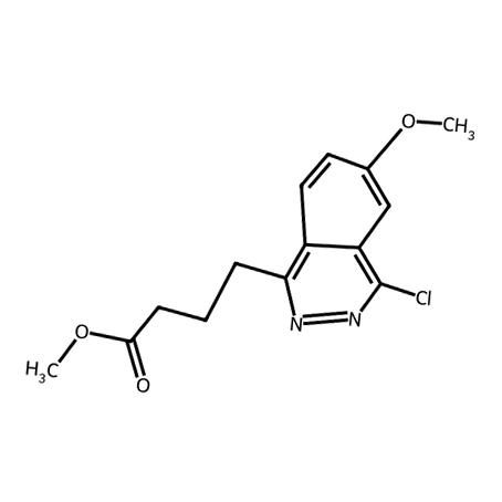 COC(=O)CCCc1nnc(Cl)c2cc(OC)ccc12